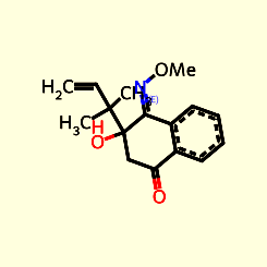 C=CC(C)(C)C1(O)CC(=O)c2ccccc2/C1=N\OC